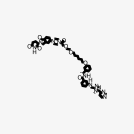 C[C@@H](NC(=O)c1cccc(NCc2nnc(-c3ccncn3)n2C)c1)c1cccc(OCCCCCCOCCOCC(=O)N2CCN(c3ccc4c(c3)CN(C3CCC(=O)NC3=O)C4=O)CC2)c1